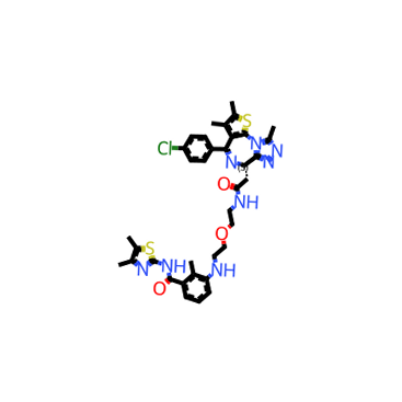 Cc1nc(NC(=O)c2cccc(NCCOCCNC(=O)C[C@@H]3N=C(c4ccc(Cl)cc4)c4c(sc(C)c4C)-n4c(C)nnc43)c2C)sc1C